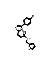 Fc1ccc(-c2cnc3ccc(NCc4ccco4)nn23)cc1